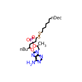 CCCCCCCCCCCCCCCCSSCCC(CC(=O)CCCC)(OC(C)Cn1cnc2c(N)ncnc21)P(=O)=O